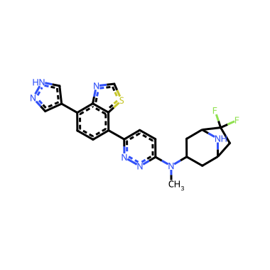 CN(c1ccc(-c2ccc(-c3cn[nH]c3)c3ncsc23)nn1)C1CC2CC(F)(F)C(C1)N2